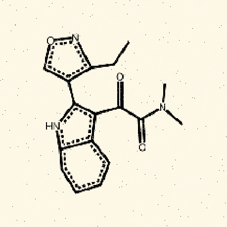 CCc1nocc1-c1[nH]c2ccccc2c1C(=O)C(=O)N(C)C